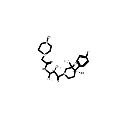 CC(=O)N1CCN(CC(=O)NC(C)[C@@H](C)C(=O)N2CC[C@](O)(c3ccc(Cl)cc3)C(C)(C)C2)CC1